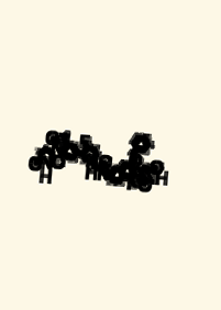 Cn1c(=O)n(C2CCC(=O)NC2=O)c2ccc(C3CN(CC(=O)Nc4ccc5c(F)c(N6CC(=O)NS6(=O)=O)c(OCc6ccccc6)cc5c4)CCC3F)cc21